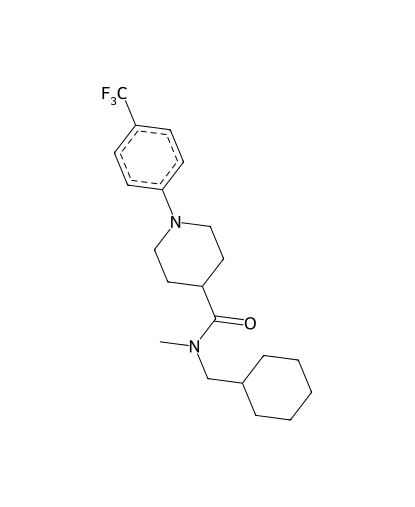 CN(CC1CCCCC1)C(=O)C1CCN(c2ccc(C(F)(F)F)cc2)CC1